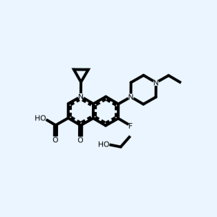 CCN1CCN(c2cc3c(cc2F)c(=O)c(C(=O)O)cn3C2CC2)CC1.CCO